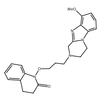 COc1cccc2c1nc1n2CCN(CCCON2C(=O)CCc3ccccc32)C1